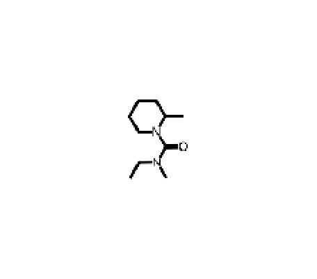 CCN(C)C(=O)N1CCCCC1C